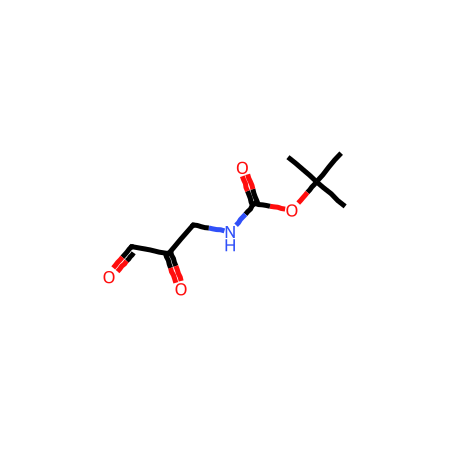 CC(C)(C)OC(=O)NCC(=O)C=O